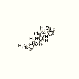 COc1ccc(SNC(=O)c2cc3c(Nc4ccc(F)c(OC)c4)ccc(Cl)c3n2C)cc1